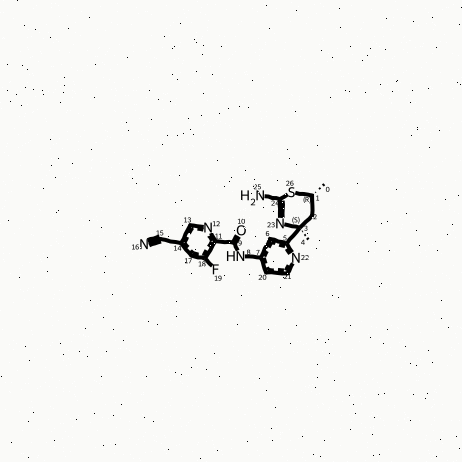 C[C@@H]1C[C@@](C)(c2cc(NC(=O)c3ncc(C#N)cc3F)ccn2)N=C(N)S1